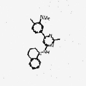 CNc1cc(-c2cc(N[C@@H]3CCCc4ccccc43)nc(C)n2)ccc1C